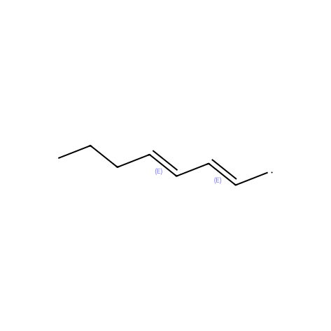 [CH2]/C=C/C=C/CCC